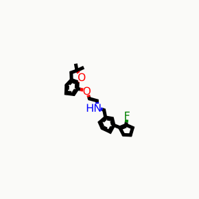 CC1(C)Cc2cccc(OCCNCc3cccc(C4=C(F)CCC4)c3)c2O1